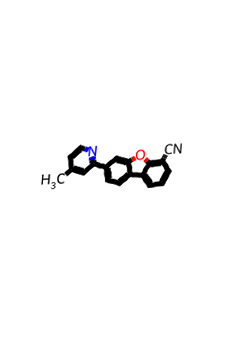 Cc1ccnc(-c2ccc3c(c2)oc2c(C#N)cccc23)c1